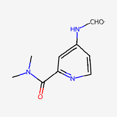 CN(C)C(=O)c1cc(N[C]=O)ccn1